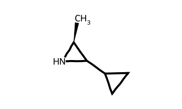 C[C@@H]1NC1C1CC1